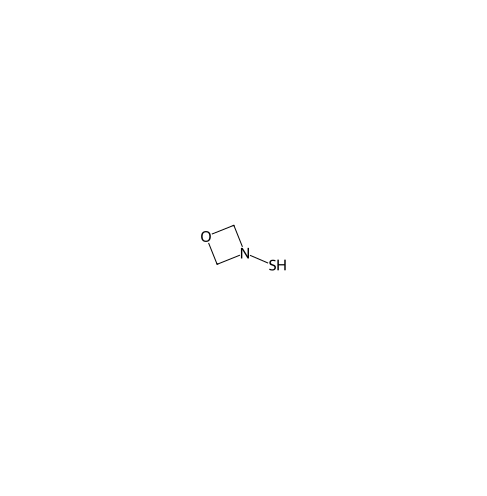 SN1COC1